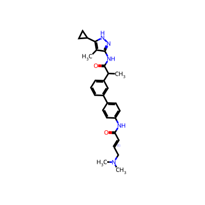 Cc1c(NC(=O)C(C)c2cccc(-c3ccc(NC(=O)/C=C/CN(C)C)cc3)c2)n[nH]c1C1CC1